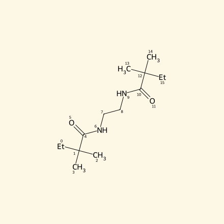 CCC(C)(C)C(=O)NCCNC(=O)C(C)(C)CC